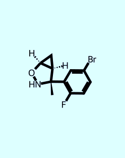 C[C@@]1(c2cc(Br)ccc2F)NO[C@H]2C[C@H]21